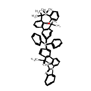 CC(C)(C)c1ccc([Si](c2ccccc2)(c2ccccc2)c2ccc(C(C)(C)C)c(-c3cccc4c3oc3nc5ccccc5n34)c2)cc1-c1cccc2c1Sc1ccccc1[Si](C)(C)C2(C)C